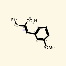 CCO/C(=C/c1cccc(OC)c1)C(=O)O